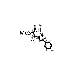 CCCNC(SC)C(=O)c1cc(-c2ccccc2)on1